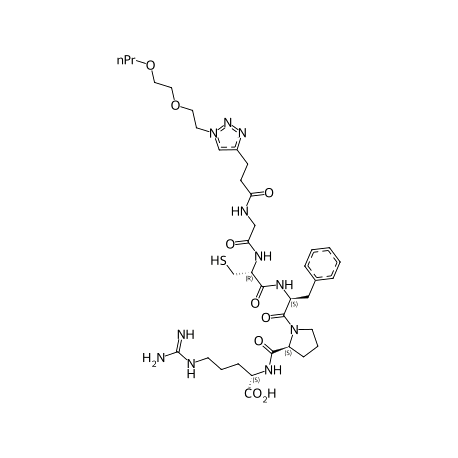 CCCOCCOCCn1cc(CCC(=O)NCC(=O)N[C@@H](CS)C(=O)N[C@@H](Cc2ccccc2)C(=O)N2CCC[C@H]2C(=O)N[C@@H](CCCNC(=N)N)C(=O)O)nn1